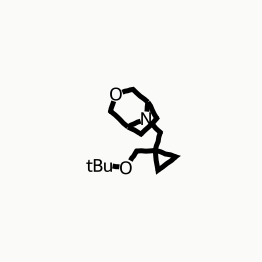 CC(C)(C)OCC1(CN2C3CCC2COC3)CC1